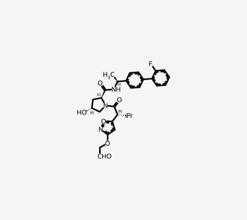 CC(C)[C@@H](C(=O)N1C[C@H](O)C[C@H]1C(=O)N[C@@H](C)c1ccc(-c2ccccc2F)cc1)c1cc(OCC=O)no1